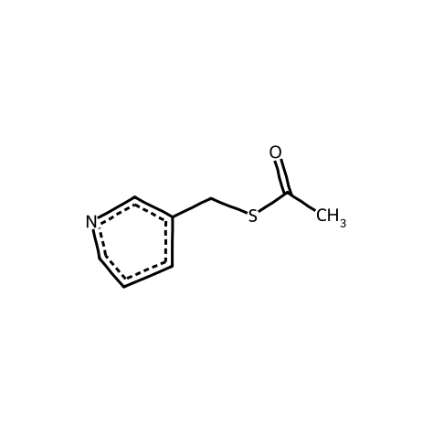 CC(=O)SCc1cccnc1